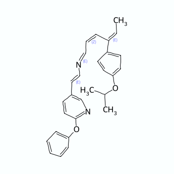 C\C=C(/C=C\C=N\C=C\c1ccc(Oc2ccccc2)nc1)c1ccc(OC(C)C)cc1